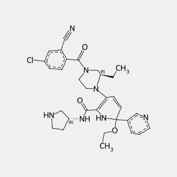 CCOC1(c2cccnc2)C=CC(N2CCN(C(=O)c3ccc(Cl)cc3C#N)C[C@H]2CC)=C(C(=O)N[C@@H]2CCNC2)N1